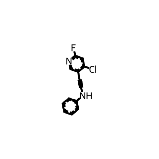 Fc1cc(Cl)c(C#CNc2ccccc2)cn1